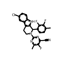 Cc1ccc(C2c3[nH]c4ccc(Cl)cc4c3CCN2c2nc(C)c(F)c(C#N)n2)c(F)c1F